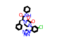 O=C(NC1=CCCC=C1)[C@H](Cc1ccccc1)N1CCN(c2cc(Cl)ccc2-n2cnnn2)C(=O)C1=O